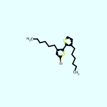 CCCCCCc1ccsc1-c1sc(Br)cc1CCCCCC